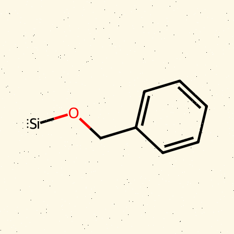 [Si]OCc1ccccc1